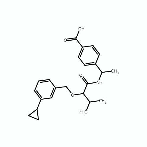 CC(NC(=O)C(OCc1cccc(C2CC2)c1)C(C)C)c1ccc(C(=O)O)cc1